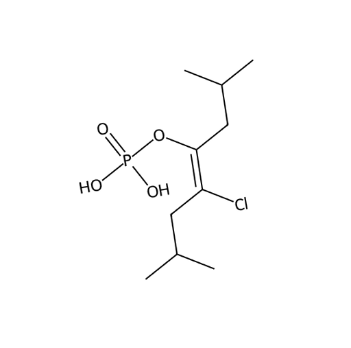 CC(C)CC(Cl)=C(CC(C)C)OP(=O)(O)O